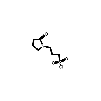 O=C1CCCN1CCCS(=O)(=O)O